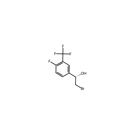 O[C@H](CBr)c1ccc(F)c(C(F)(F)F)c1